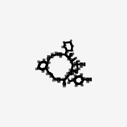 CN1C(=O)[C@H](C2CCCCC2)NCCOc2ccccc2/C=C/CNC(=O)[C@@H](Cc2ccc(O)cc2)NC(=O)[C@@H]1C(C)(C)O